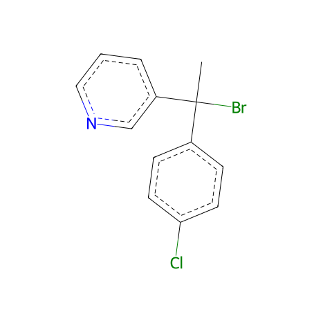 CC(Br)(c1ccc(Cl)cc1)c1cccnc1